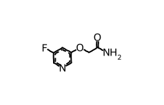 NC(=O)COc1cncc(F)c1